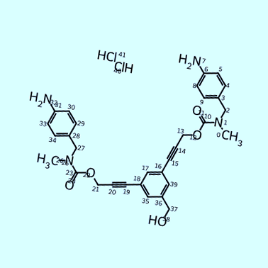 CN(Cc1ccc(N)cc1)C(=O)OCC#Cc1cc(C#CCOC(=O)N(C)Cc2ccc(N)cc2)cc(CO)c1.Cl.Cl